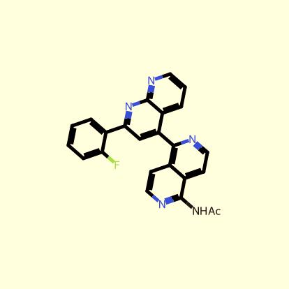 CC(=O)Nc1nccc2c(-c3cc(-c4ccccc4F)nc4ncccc34)nccc12